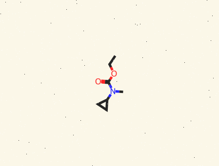 CCOC(=O)N(C)C1CC1